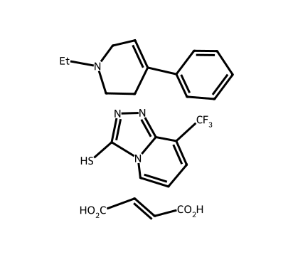 CCN1CC=C(c2ccccc2)CC1.FC(F)(F)c1cccn2c(S)nnc12.O=C(O)C=CC(=O)O